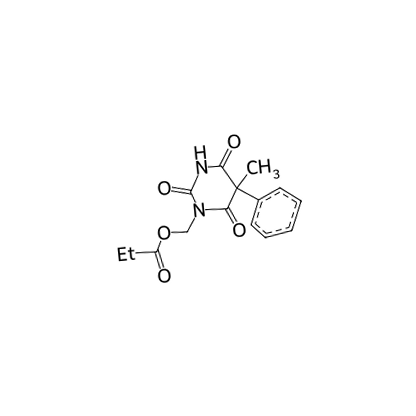 CCC(=O)OCN1C(=O)NC(=O)C(C)(c2ccccc2)C1=O